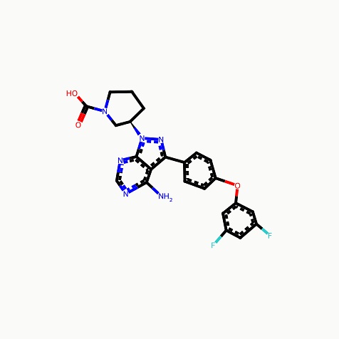 Nc1ncnc2c1c(-c1ccc(Oc3cc(F)cc(F)c3)cc1)nn2[C@@H]1CCCN(C(=O)O)C1